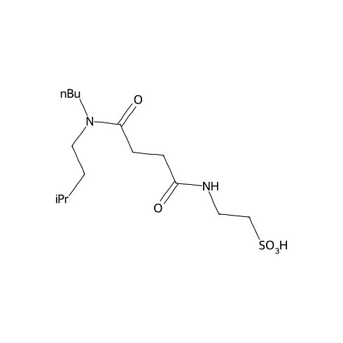 CCCCN(CCC(C)C)C(=O)CCC(=O)NCCS(=O)(=O)O